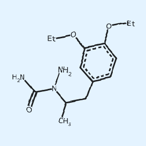 CCOc1ccc(CC(C)N(N)C(N)=O)cc1OCC